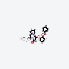 O=C(O)C(CC1CCCCC1)N1CC(Oc2ccccc2OCc2ccccc2)=CC1=O